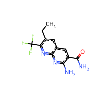 CCc1cc2cc(C(N)=O)c(N)nc2nc1C(F)(F)F